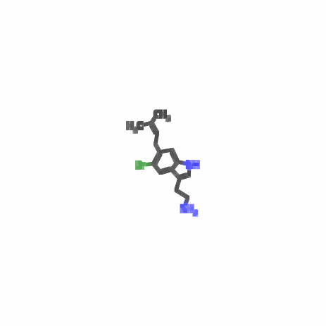 CC(C)=CCc1cc2[nH]cc(CCN)c2cc1Br